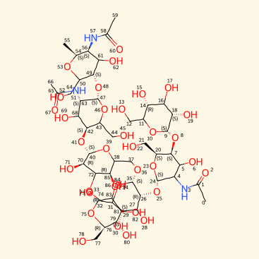 CC(=O)NC1C(O)[C@H](O[C@@H]2OC(CO)[C@H](O)C(O)[C@@H]2O)[C@H](CO)O[C@H]1O[C@@H]1C(O)[C@H](O)C(CO)O[C@@H]1OCC1O[C@@H](O[C@@H]2C(CO)O[C@@H](O[C@@H]3C(CO)O[C@@H](C)[C@@H](NC(C)=O)C3O)[C@@H](NC(C)=O)C2O)[C@H](O)C(O[C@H]2O[C@H](CO)[C@@H](O)C(O)C2O)[C@@H]1O